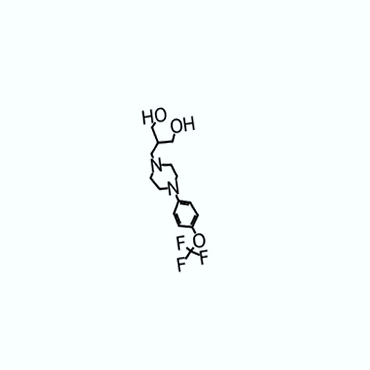 OCC(CO)CN1CCN(c2ccc(OC(F)(F)F)cc2)CC1